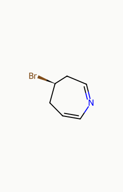 Br[C@@H]1CC=CN=CC1